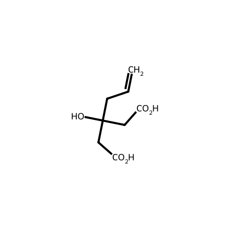 C=CCC(O)(CC(=O)O)CC(=O)O